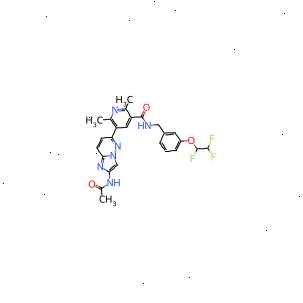 CC(=O)Nc1cn2nc(-c3cc(C(=O)NCc4cccc(OC(F)C(F)F)c4)c(C)nc3C)ccc2n1